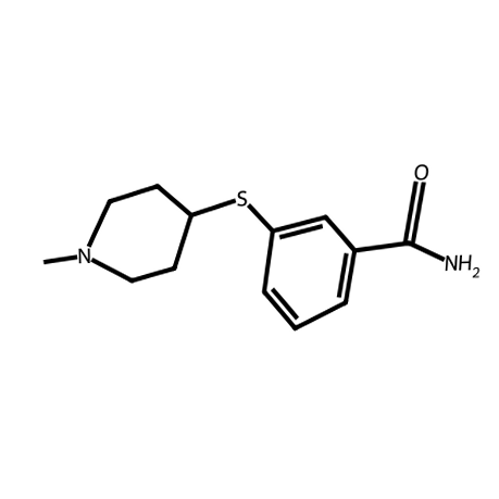 CN1CCC(Sc2cccc(C(N)=O)c2)CC1